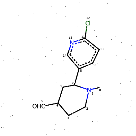 CN1CCC(C=O)CC1c1ccc(Cl)nc1